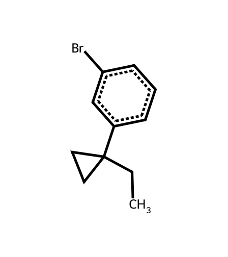 CCC1(c2cccc(Br)c2)CC1